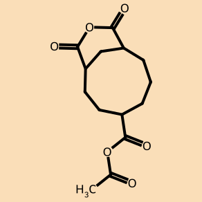 CC(=O)OC(=O)C1CCCC2CC(CC1)C(=O)OC2=O